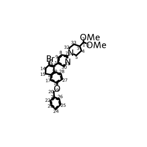 COC(OC)C1CCN(c2ccc(C3=C(Br)CCc4cc(OCc5ccccc5)ccc43)cn2)CC1